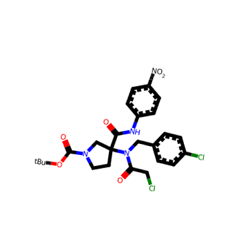 CC(C)(C)OC(=O)N1CCC(C(=O)Nc2ccc([N+](=O)[O-])cc2)(N(Cc2ccc(Cl)cc2)C(=O)CCl)C1